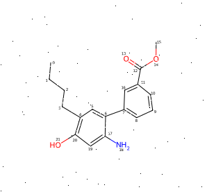 CCCCc1cc(-c2cccc(C(=O)OC)c2)c(N)cc1O